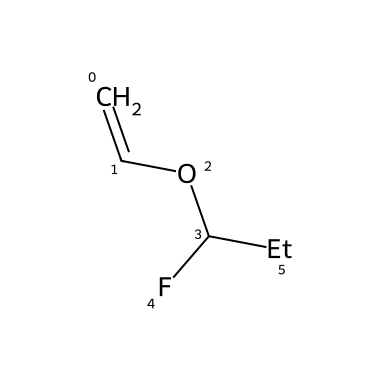 C=COC(F)CC